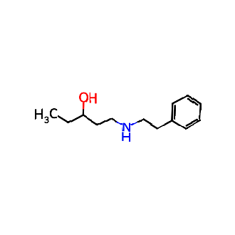 CCC(O)CCNCCc1ccccc1